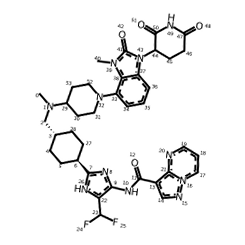 CN(C[C@H]1CC[C@H](c2nc(NC(=O)c3cnn4cccnc34)c(C(F)F)[nH]2)CC1)C1CCN(c2cccc3c2n(C)c(=O)n3C2CCC(=O)NC2=O)CC1